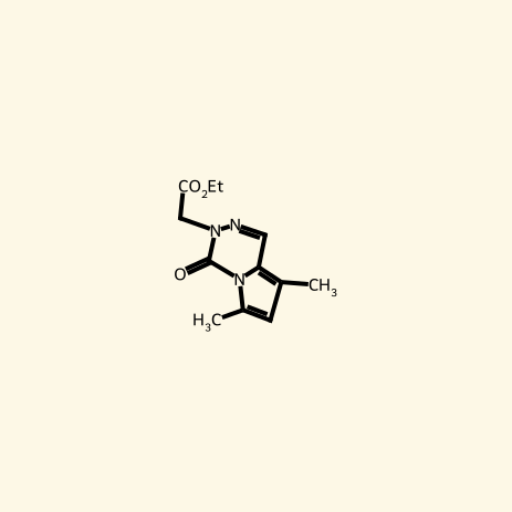 CCOC(=O)Cn1ncc2c(C)cc(C)n2c1=O